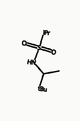 CC(NS(=O)(=O)C(C)C)C(C)(C)C